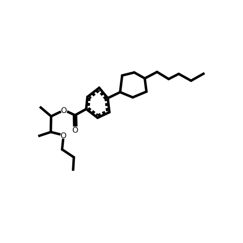 CCCCCC1CCC(c2ccc(C(=O)OC(C)C(C)OCCC)cc2)CC1